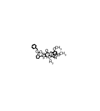 COc1ccc(Cn2c(C(C)(C)C#N)nc3sc(C4CCCN4C(=O)OCc4ccccc4)nc3c2=O)c(OC)c1